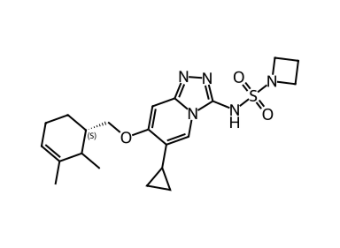 CC1=CCC[C@H](COc2cc3nnc(NS(=O)(=O)N4CCC4)n3cc2C2CC2)C1C